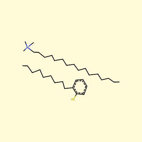 CCCCCCCCCCCCCCCC[N+](C)(C)C.CCCCCCCCCc1ccccc1S